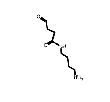 NCCCCNC(=O)CCC=O